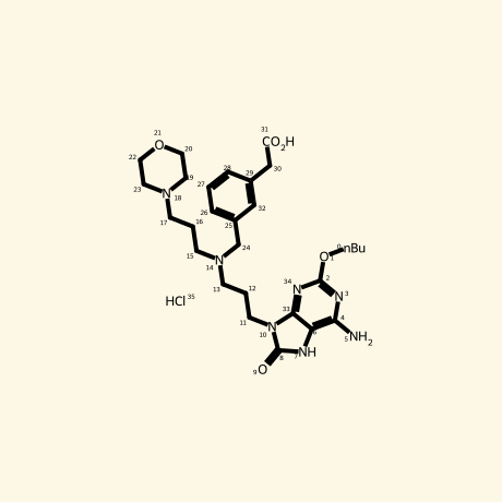 CCCCOc1nc(N)c2[nH]c(=O)n(CCCN(CCCN3CCOCC3)Cc3cccc(CC(=O)O)c3)c2n1.Cl